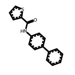 O=C(Nc1ccc(-c2ccccc2)cc1)c1cccs1